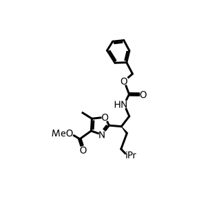 COC(=O)c1nc([C@H](CCC(C)C)CNC(=O)OCc2ccccc2)oc1C